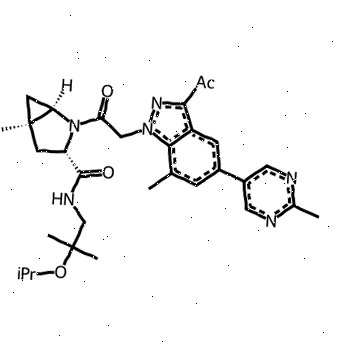 CC(=O)c1nn(CC(=O)N2[C@H](C(=O)NCC(C)(C)OC(C)C)C[C@@]3(C)C[C@@H]23)c2c(C)cc(-c3cnc(C)nc3)cc12